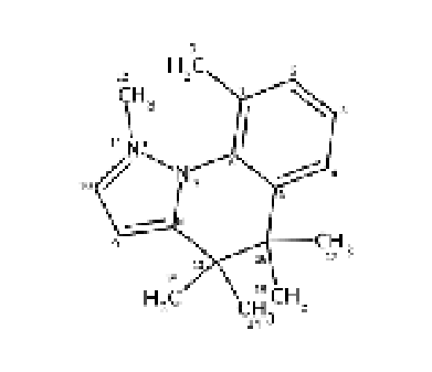 Cc1cccc2c1-n1c(cc[n+]1C)C(C)(C)C2(C)C